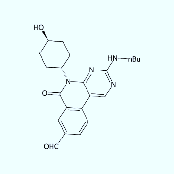 CCCCNc1ncc2c3ccc(C=O)cc3c(=O)n([C@H]3CC[C@H](O)CC3)c2n1